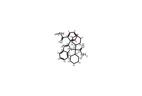 CNC(=O)c1ccccc1-c1nc2ccccc2n1C(C(N)=O)(C1CCCCC1)C1CCCCC1